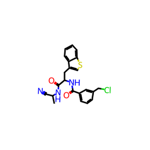 CC(C#N)NC(=O)C(Cc1csc2ccccc12)NC(=O)c1cccc(CCl)c1